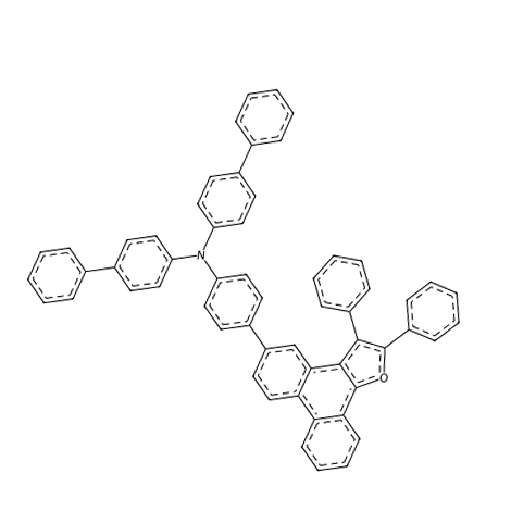 c1ccc(-c2ccc(N(c3ccc(-c4ccccc4)cc3)c3ccc(-c4ccc5c6ccccc6c6oc(-c7ccccc7)c(-c7ccccc7)c6c5c4)cc3)cc2)cc1